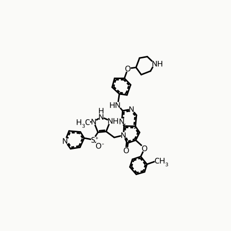 Cc1ccccc1Oc1cc2cnc(Nc3ccc(OC4CCNCC4)cc3)nc2n(CC2=C([S+]([O-])c3ccncc3)N(C)NN2)c1=O